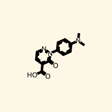 CN(C)c1ccc(-n2nccc(C(=O)O)c2=O)cc1